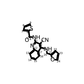 N#Cc1c(NC(=O)c2cccs2)nc2ccccc2c1NCc1ccco1